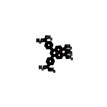 CN(C)c1ccc(C(=CC(c2ccc(N(C)C)cc2)c2ccc(N(C)C)cc2)c2ccc(N(C)C)cc2)cc1